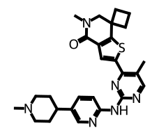 Cc1cnc(Nc2ccc(C3CCN(C)CC3)cn2)nc1-c1cc2c(s1)C1(CCC1)CN(C)C2=O